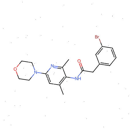 Cc1cc(N2CCOCC2)nc(C)c1NC(=O)Cc1cccc(Br)c1